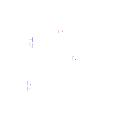 C1=NCCO1.C1CNCCN1.c1ccc2ccccc2c1